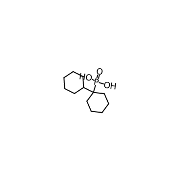 O=P(O)(O)C1(C2CCCCC2)CCCCC1